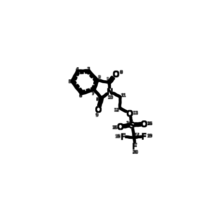 O=C1c2ccccc2C(=O)N1CCOS(=O)(=O)C(F)(F)F